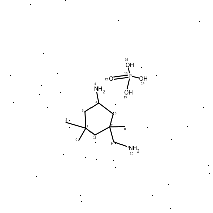 CC1(C)CC(N)CC(C)(CN)C1.O=P(O)(O)O